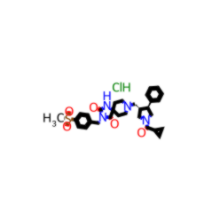 CS(=O)(=O)c1ccc(CN2C(=O)NC3(CCN(C[C@H]4CN(C(=O)C5CC5)C[C@@H]4c4ccccc4)CC3)C2=O)cc1.Cl